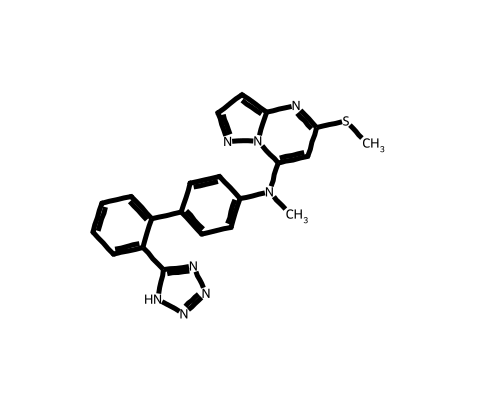 CSc1cc(N(C)c2ccc(-c3ccccc3-c3nnn[nH]3)cc2)n2nccc2n1